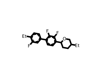 CCc1ccc(-c2ccc(C3CCC(CC)CO3)c(F)c2F)cc1F